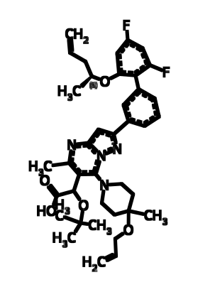 C=CCOC1(C)CCN(c2c(C(OC(C)(C)C)C(=O)O)c(C)nc3cc(-c4cccc(-c5c(F)cc(F)cc5O[C@@H](C)CC=C)c4)nn23)CC1